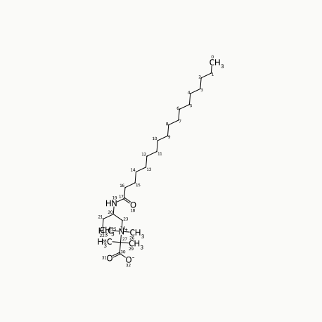 CCCCCCCCCCCCCCCCCC(=O)NC(CC)C[N+](C)(C)C(C)(C)C(=O)[O-]